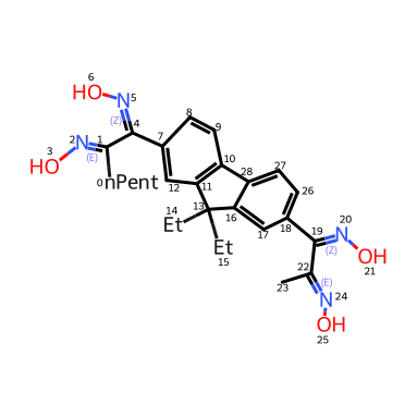 CCCCCC(=N\O)/C(=N\O)c1ccc2c(c1)C(CC)(CC)c1cc(C(=N/O)/C(C)=N/O)ccc1-2